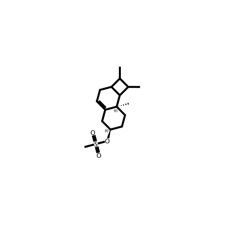 CC1C(C)C2C1CC=C1C[C@H](OS(C)(=O)=O)CC[C@@]12C